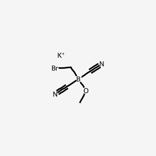 CO[B-](C#N)(C#N)CBr.[K+]